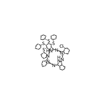 Clc1cccc2c1-c1nc-2nc2[nH]c(nc3nc(nc4[nH]c(n1)c1c(Sc5ccccc5)c(Sc5ccccc5)c(Sc5ccccc5)c(Sc5ccccc5)c41)-c1ccccc1-3)c1ccccc21